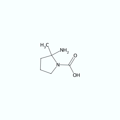 CC1(N)CCCN1C(=O)O